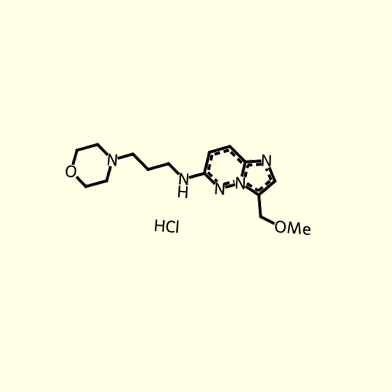 COCc1cnc2ccc(NCCCN3CCOCC3)nn12.Cl